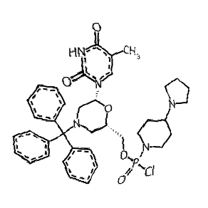 Cc1cn([C@H]2CN(C(c3ccccc3)(c3ccccc3)c3ccccc3)C[C@@H](COP(=O)(Cl)N3CCC(N4CCCC4)CC3)O2)c(=O)[nH]c1=O